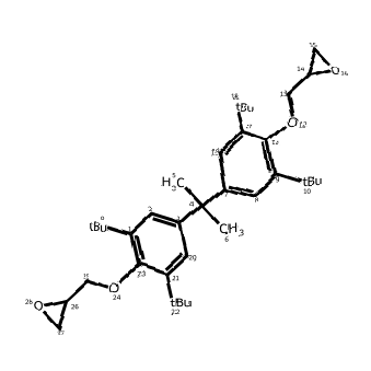 CC(C)(C)c1cc(C(C)(C)c2cc(C(C)(C)C)c(OCC3CO3)c(C(C)(C)C)c2)cc(C(C)(C)C)c1OCC1CO1